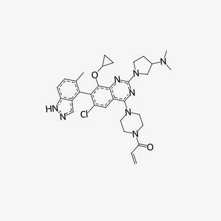 C=CC(=O)N1CCN(c2nc(N3CCC(N(C)C)C3)nc3c(OC4CC4)c(-c4c(C)ccc5[nH]ncc45)c(Cl)cc23)CC1